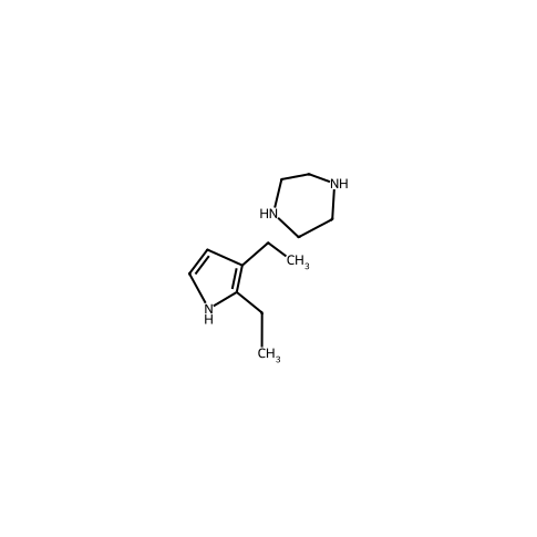 C1CNCCN1.CCc1cc[nH]c1CC